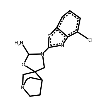 NC1OC2(CN3CCC2CC3)CN1c1nc2c(Cl)cccc2s1